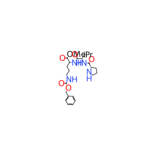 COC(=O)C(CCCNC(=O)OCc1ccccc1)NC(=O)C(NC(=O)[C@H]1CCCN1)C(C)C